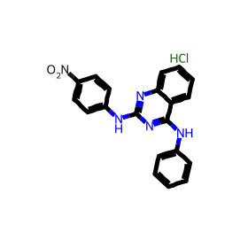 Cl.O=[N+]([O-])c1ccc(Nc2nc(Nc3ccccc3)c3ccccc3n2)cc1